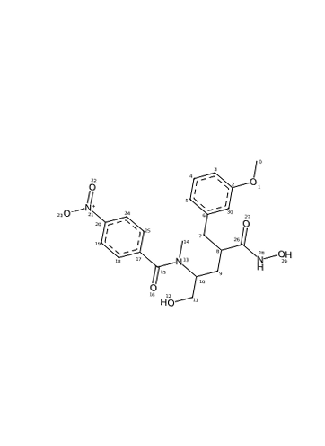 COc1cccc(CC(CC(CO)N(C)C(=O)c2ccc([N+](=O)[O-])cc2)C(=O)NO)c1